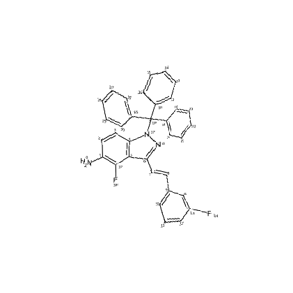 Nc1ccc2c(c(C=Cc3cccc(F)c3)nn2C(c2ccccc2)(c2ccccc2)c2ccccc2)c1F